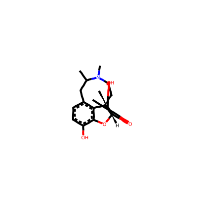 CC1Cc2ccc(O)c3c2[C@@]2(CCN1C)[C@@H](O3)C(=O)CC[C@]2(C)O